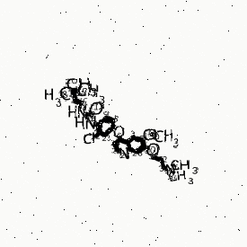 COc1cc2c(Oc3ccc(NC(=O)NCCC(C)(C)C)c(Cl)c3)ccnc2cc1OCCCN(C)C